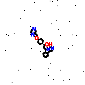 OC(CC1c2ccccc2-c2cncn21)[C@H]1CC[C@H](OCc2cnccn2)CC1